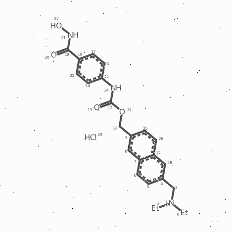 CCN(CC)Cc1ccc2cc(COC(=O)Nc3ccc(C(=O)NO)cc3)ccc2c1.Cl